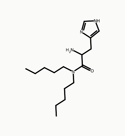 CCCCCN(CCCCC)C(=O)C(N)Cc1c[nH]cn1